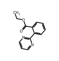 CCOC(=O)c1ccccc1-c1ncccn1